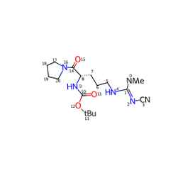 CN/C(=N\C#N)NCCC[C@H](NC(=O)OC(C)(C)C)C(=O)N1CCCC1